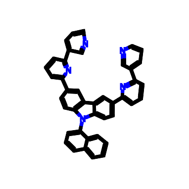 c1cncc(-c2cccc(-c3ccc4c(c3)c3cc(-c5cccc(-c6cccnc6)n5)ccc3n4-c3cccc4ccccc34)n2)c1